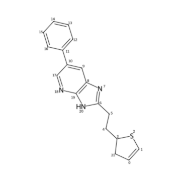 C1=CSC(CCc2nc3cc(-c4ccccc4)cnc3[nH]2)C1